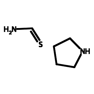 C1CCNC1.NC=S